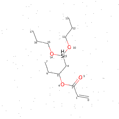 C=CC(=O)OC(CC)C[SiH](OCCC)OCCC